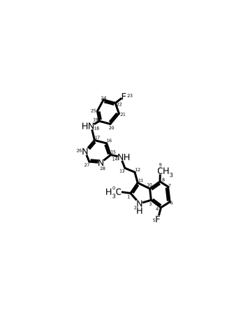 Cc1[nH]c2c(F)ccc(C)c2c1CCNc1cc(Nc2ccc(F)cc2)ncn1